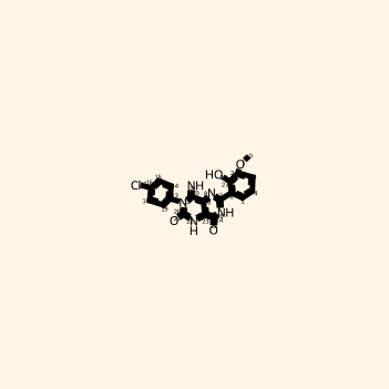 COc1cccc(-c2nc3c(=N)n(-c4ccc(Cl)cc4)c(=O)[nH]c3c(=O)[nH]2)c1O